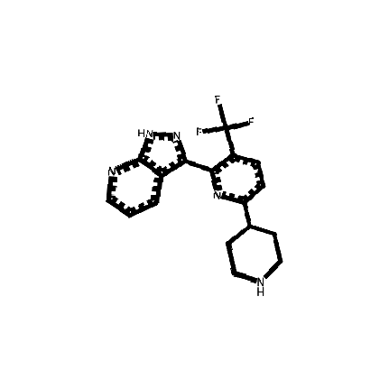 FC(F)(F)c1ccc(C2CCNCC2)nc1-c1n[nH]c2ncccc12